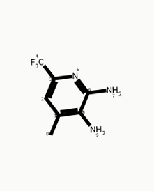 Cc1cc(C(F)(F)F)nc(N)c1N